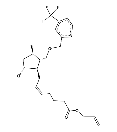 C=CCOC(=O)CCC/C=C\C[C@@H]1[C@@H](COCc2cccc(C(F)(F)F)c2)[C@H](C)C[C@H]1Cl